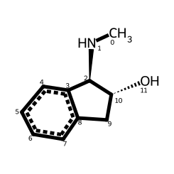 CN[C@@H]1c2ccccc2C[C@H]1O